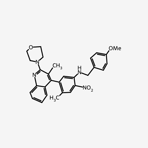 COc1ccc(CNc2cc(-c3c(C)c(N4CCOCC4)nc4ccccc34)c(C)cc2[N+](=O)[O-])cc1